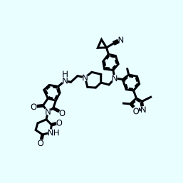 Cc1ccc(-c2c(C)noc2C)cc1N(CC1CCN(CCNc2ccc3c(c2)C(=O)N(C2CCC(=O)NC2=O)C3=O)CC1)c1ccc(C2(C#N)CC2)cc1